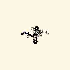 C=C/C=C\C=C(/C)C(=O)CCC(=O)N1Cc2ccccc2C[C@H]1C(=O)N[C@@H](CCN)C(=O)Nc1cccc(Cl)c1Cl